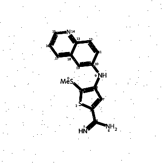 CSc1sc(C(=N)N)cc1Nc1ccc2ncccc2c1